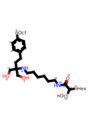 CCCCCCCCc1ccc(CCC(CO)(CO)NCCCCCCNC(=O)C(CCCCCC)CCCCCCCC)cc1